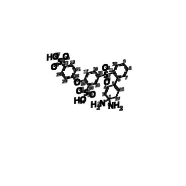 NC1(N)C=CC(c2ccccc2S(=O)(=O)c2ccc(Oc3ccc(S(=O)(=O)O)cc3)c(S(=O)(=O)O)c2)=CC1